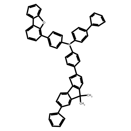 CC1(C)c2ccc(-c3ccc(N(c4ccc(-c5ccccc5)cc4)c4ccc(-c5cccc6c5oc5ccccc56)cc4)cc3)cc2-c2ccc(-c3ccccc3)cc21